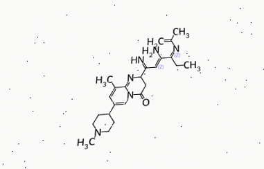 C=C(C)/N=C(CC)\C(N)=C\C(=N)C1CC(=O)N2C=C(C3CCN(C)CC3)C=C(C)C2=N1